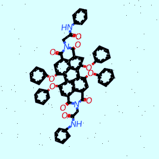 O=C(CN1C(=O)c2cc(Oc3ccccc3)c3c4c(Oc5ccccc5)cc5c6c(cc(Oc7ccccc7)c(c7c(Oc8ccccc8)cc(c2c37)C1=O)c64)C(=O)N(CC(=O)Nc1ccccc1)C5=O)Nc1ccccc1